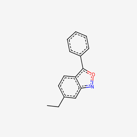 CCc1ccc2c(-c3ccccc3)onc2c1